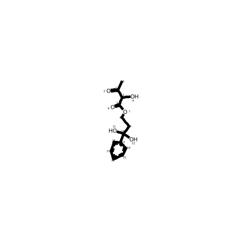 CC(=O)C(O)C(=O)OCCC(O)(O)c1ccccc1